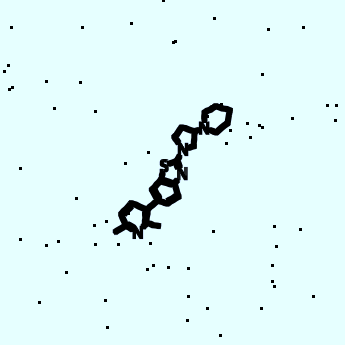 Cc1ccc(-c2ccc3nc(N4CCC(N5CCCCC5)C4)sc3c2)c(C)n1